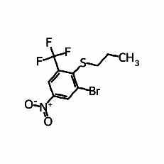 CCCSc1c(Br)cc([N+](=O)[O-])cc1C(F)(F)F